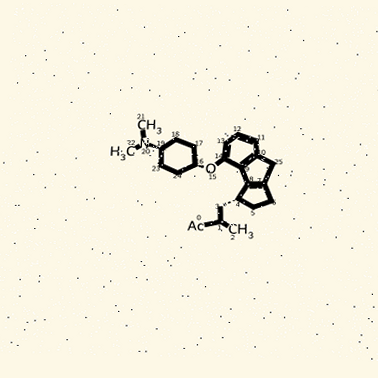 CC(=O)C(C)C[C@H]1CCC2=C1c1c(cccc1O[C@H]1CC[C@H](N(C)C)CC1)C2